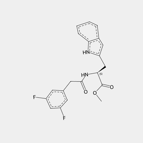 COC(=O)[C@H](Cc1cc2ccccc2[nH]1)NC(=O)Cc1cc(F)cc(F)c1